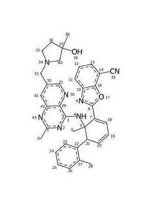 Cc1nc(NC2(C)C(c3nc4cccc(C#N)c4o3)=CC=CC2c2ccccc2C)c2ncc(CN3CCC(C)(O)C3)cc2n1